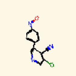 N#Cc1c(Cl)cncc1-c1ccc(N=O)cc1